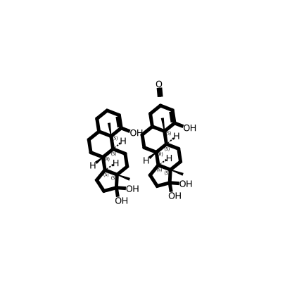 C=O.C[C@]12C(O)=CCCC1CC[C@@H]1[C@@H]2CC[C@@]2(C)[C@H]1CCC2(O)O.C[C@]12C(O)=CCCC1CC[C@@H]1[C@@H]2CC[C@@]2(C)[C@H]1CCC2(O)O